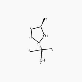 C[C@@H]1CC[C@@H](C(C)(C)O)O1